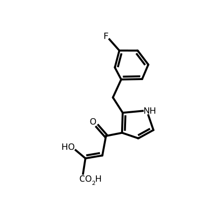 O=C(O)C(O)=CC(=O)c1cc[nH]c1Cc1cccc(F)c1